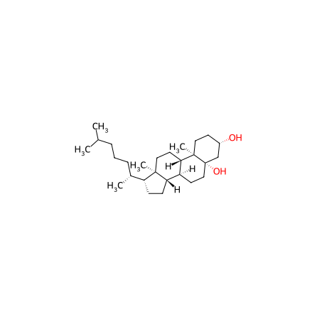 CC(C)CCC[C@@H](C)[C@H]1CC[C@H]2[C@@H]3CC[C@]4(O)C[C@@H](O)CC[C@]4(C)[C@H]3CC[C@]12C